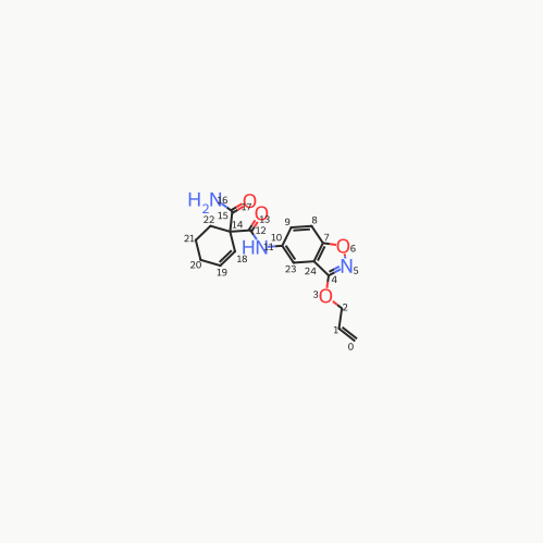 C=CCOc1noc2ccc(NC(=O)C3(C(N)=O)C=CCCC3)cc12